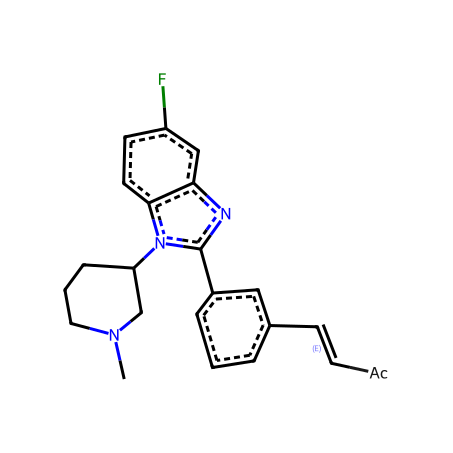 CC(=O)/C=C/c1cccc(-c2nc3cc(F)ccc3n2C2CCCN(C)C2)c1